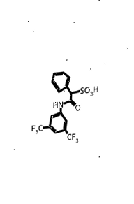 O=C(Nc1cc(C(F)(F)F)cc(C(F)(F)F)c1)C(c1ccccc1)S(=O)(=O)O